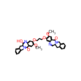 COc1cc2c(cc1OCCCOc1cc3c(cc1OC)C(=O)N1Cc4ccccc4CC1C(O)=N3)N=CC1Cc3ccccc3CN1C2=O